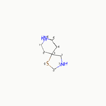 [CH]1NCC2(CCNCC2)S1